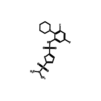 CN(C)S(=O)(=O)c1ccc(S(=O)(=O)Nc2cc(F)cc(F)c2N2CCCCC2)s1